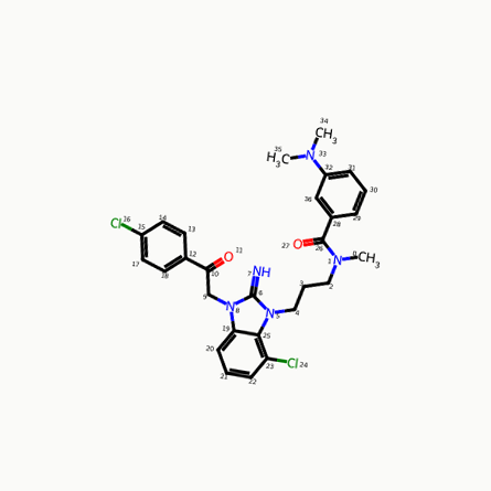 CN(CCCn1c(=N)n(CC(=O)c2ccc(Cl)cc2)c2cccc(Cl)c21)C(=O)c1cccc(N(C)C)c1